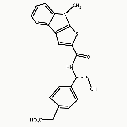 Cn1c2ccccc2c2cc(C(=O)N[C@H](CO)c3ccc(CC(=O)O)cc3)sc21